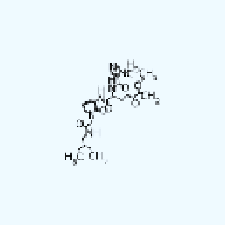 C=C(OCC)C(=O)CC[C@H](NC(=O)c1cncn1C)C(=O)Nc1cccn(CC(=O)NCC(CC)CC)c1=O